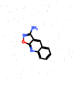 Nc1noc2nc3ccccc3cc12